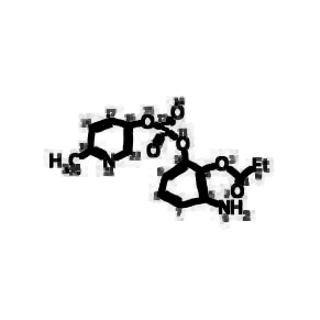 CCC(=O)Oc1c(N)cccc1OS(=O)(=O)Oc1ccc(C)nc1